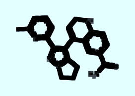 Cc1cccc(-c2nn3c(c2C2=CCNc4ccc(C(N)=O)cc42)CCC3)n1